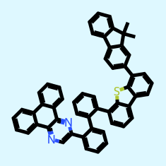 CC1(C)c2ccccc2-c2ccc(-c3cccc4c3sc3c(-c5ccccc5-c5ccccc5-c5cnc6c7ccccc7c7ccccc7c6n5)cccc34)cc21